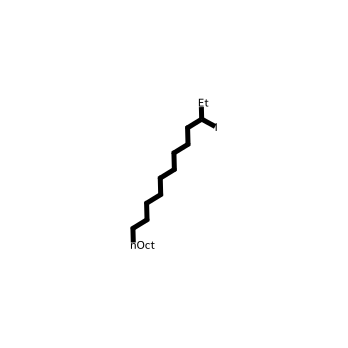 CCCCCCCCCCCCCCCCCC(I)CC